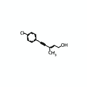 CC(C#Cc1ccc(Cl)cc1)=CCO